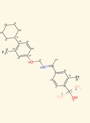 BC(B)(O)c1ccc(/C(C)=N/COc2ccc(C3CCCCC3)c(C(F)(F)F)c2)cc1CC